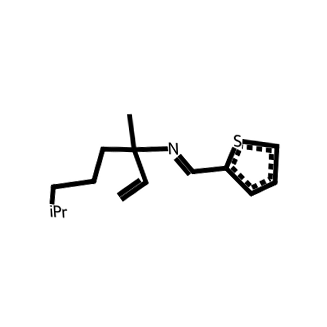 C=CC(C)(CCCC(C)C)N=Cc1cccs1